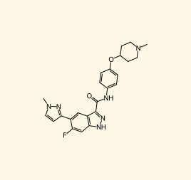 CN1CCC(Oc2ccc(NC(=O)c3n[nH]c4cc(F)c(-c5ccn(C)n5)cc34)cc2)CC1